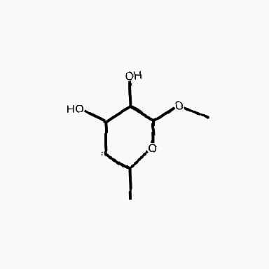 COC1OC(C)[C]C(O)C1O